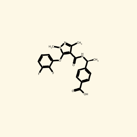 Cc1nn(C)c(Oc2cccc(F)c2F)c1C(=O)N[C@@H](C)c1ccc(C(=O)O)cc1